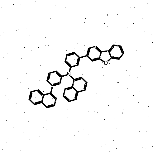 c1cc(-c2ccc3c(c2)oc2ccccc23)cc(N(c2cccc(-c3cccc4ccccc34)c2)c2cccc3ccccc23)c1